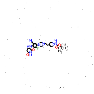 CC(C)(C)OC(=O)NN1CCC(CCN2CCN(c3cc(C#N)c(NC4CCC(=O)NC4=O)cc3F)CC2)CC1